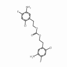 Nc1cc(CCOC(=O)OCCc2cc(N)c(F)cc2Cl)c(Cl)cc1F